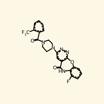 O=C1Nc2c(F)cccc2Oc2nnc(N3CCN(C(=O)c4ccccc4C(F)(F)F)CC3)cc21